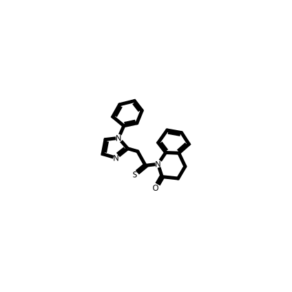 O=C1CCc2ccccc2N1C(=S)Cc1nccn1-c1ccccc1